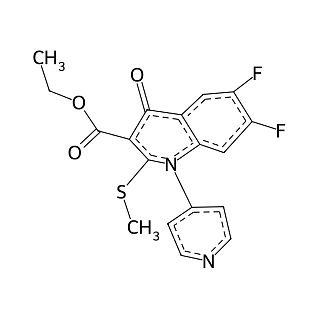 CCOC(=O)c1c(SC)n(-c2ccncc2)c2cc(F)c(F)cc2c1=O